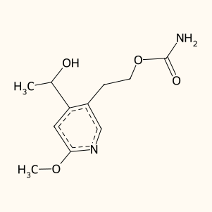 COc1cc(C(C)O)c(CCOC(N)=O)cn1